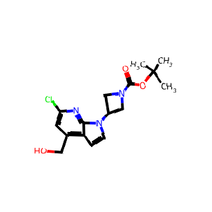 CC(C)(C)OC(=O)N1CC(n2ccc3c(CO)cc(Cl)nc32)C1